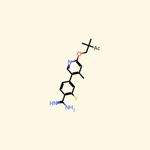 CC(=O)C(C)(C)COc1cc(C)c(-c2ccc(C(=N)N)c(F)c2)cn1